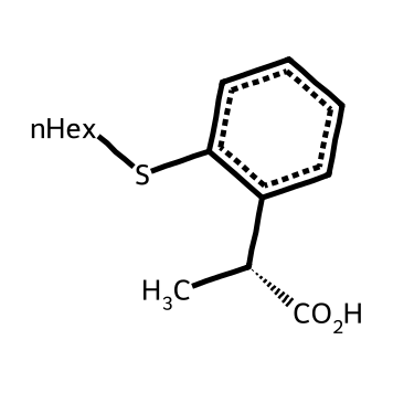 CCCCCCSc1ccccc1[C@@H](C)C(=O)O